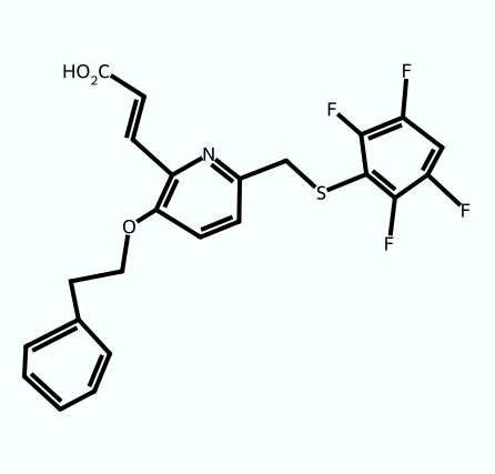 O=C(O)C=Cc1nc(CSc2c(F)c(F)cc(F)c2F)ccc1OCCc1ccccc1